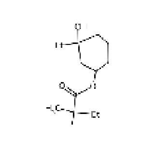 CCC1(O)CCCC(OC(=O)C(C)(I)CC)C1